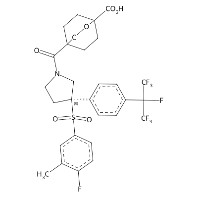 Cc1cc(S(=O)(=O)[C@@]2(c3ccc(C(F)(C(F)(F)F)C(F)(F)F)cc3)CCN(C(=O)C34CCC(C(=O)O)(CC3)OC4)C2)ccc1F